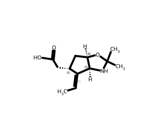 C/C=C1\[C@H](CC(=O)O)C[C@H]2OC(C)(C)N[C@@H]12